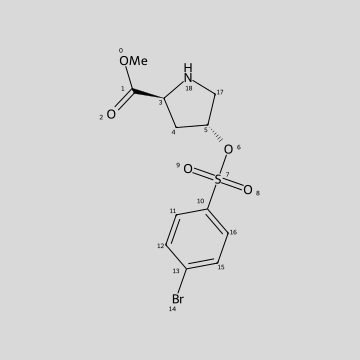 COC(=O)[C@@H]1C[C@@H](OS(=O)(=O)c2ccc(Br)cc2)CN1